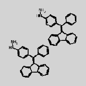 NNc1ccc(C(=C2c3ccccc3-c3ccccc32)c2ccccc2)cc1.NNc1ccc(C(=C2c3ccccc3-c3ccccc32)c2ccccc2)cc1